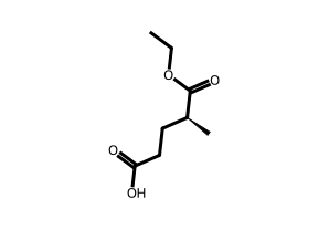 CCOC(=O)[C@@H](C)CCC(=O)O